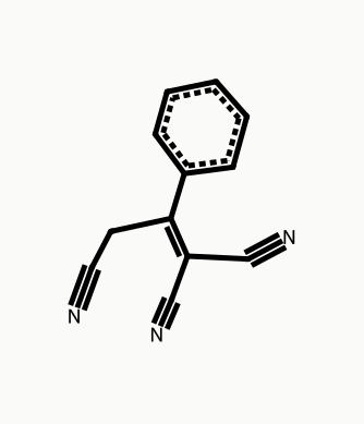 N#CCC(=C(C#N)C#N)c1ccccc1